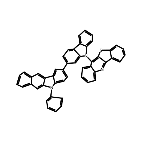 c1ccc(-n2c3ccc(-c4ccc5c6ccccc6n(-c6c7ccccc7nc7c6sc6ccccc67)c5c4)cc3c3cc4ccccc4cc32)cc1